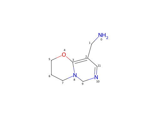 NCC1=C2OCCCN2CN=C1